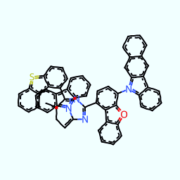 CC1C/C=C(n2c3ccccc3c3ccccc32)/N=C(c2ccc(-n3c4ccccc4c4cc5ccccc5cc43)c3oc4ccccc4c23)\N=C/1c1cccc2sc3ccccc3c12